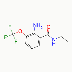 CCNC(=O)c1cccc(OC(F)(F)F)c1N